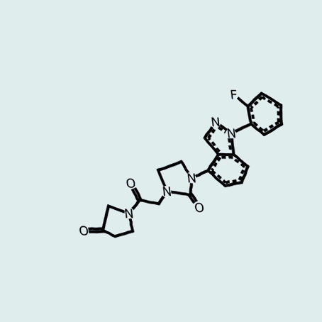 O=C1CCN(C(=O)CN2CCN(c3cccc4c3cnn4-c3ccccc3F)C2=O)C1